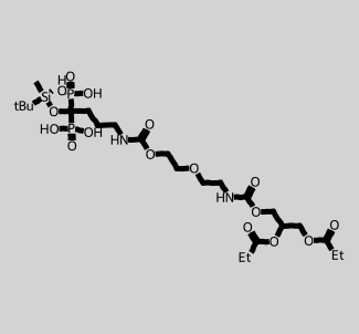 CCC(=O)OCC(COC(=O)NCCOCCOC(=O)NCCCC(O[Si](C)(C)C(C)(C)C)(P(=O)(O)O)P(=O)(O)O)OC(=O)CC